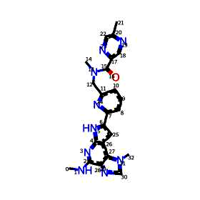 CNc1nc2[nH]c(-c3cccc(CN(C)C(=O)c4cnc(C)cn4)n3)cc2c2c1ncn2C